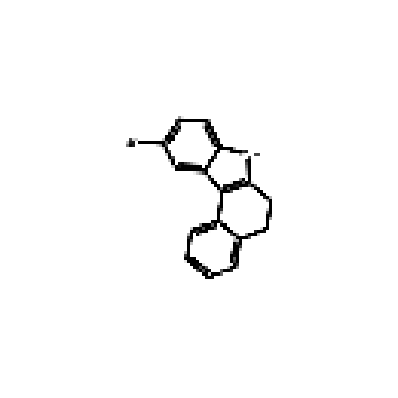 Brc1ccc2[nH]c3c(c2c1)-c1ccccc1CC3